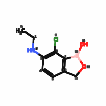 CCNc1ccc2c(c1Cl)B(O)OC2